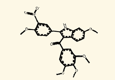 COc1ccc2c(C(=O)c3cc(OC)c(OC)c(OC)c3)c(-c3ccc(OC)c([N+](=O)[O-])c3)[nH]c2c1